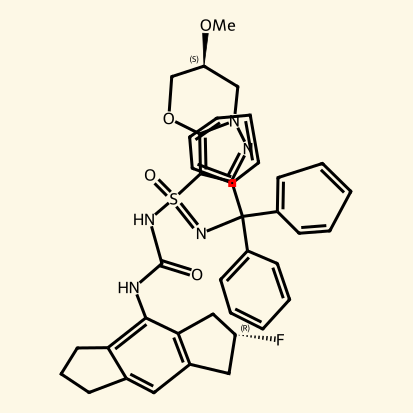 CO[C@@H]1COc2c(S(=O)(=NC(c3ccccc3)(c3ccccc3)c3ccccc3)NC(=O)Nc3c4c(cc5c3C[C@H](F)C5)CCC4)cnn2C1